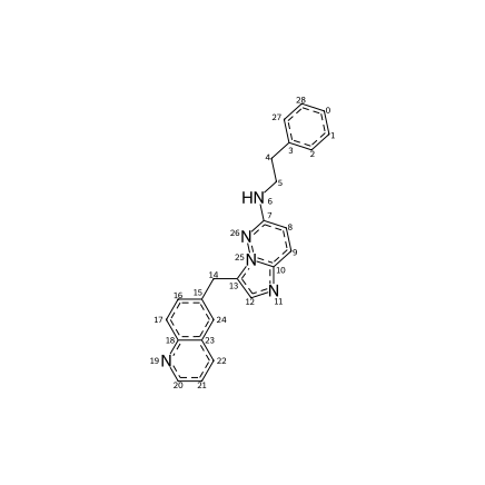 c1ccc(CCNc2ccc3ncc(Cc4ccc5ncccc5c4)n3n2)cc1